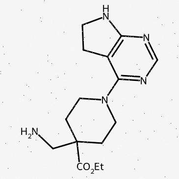 CCOC(=O)C1(CN)CCN(c2ncnc3c2CCN3)CC1